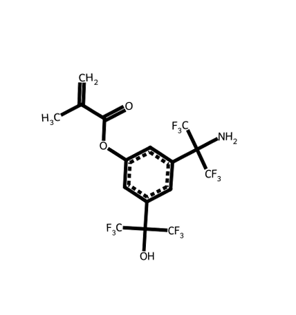 C=C(C)C(=O)Oc1cc(C(N)(C(F)(F)F)C(F)(F)F)cc(C(O)(C(F)(F)F)C(F)(F)F)c1